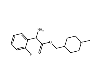 CN1CCC(COC(=O)C(N)c2ccccc2F)CC1